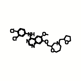 COc1cc2c(Nc3ccc(Cl)c(Cl)c3)ncnc2cc1OCC1CN(CC2CCCO2)CCCO1